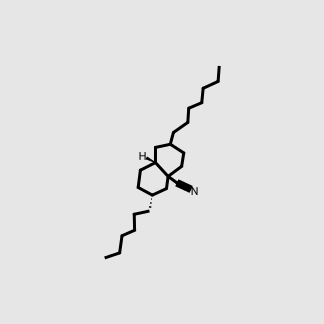 CCCCCCCC1CCC2(C#N)C[C@H](CCCCCC)CC[C@@H]2C1